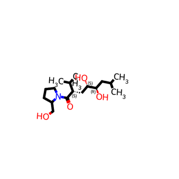 CC(C)C[C@@H](O)[C@@H](O)C[C@H](C(=O)N1CCCC1CO)C(C)C